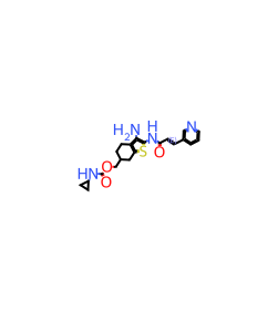 Nc1c(NC(=O)/C=C/c2cccnc2)sc2c1CCC(COC(=O)NC1CC1)C2